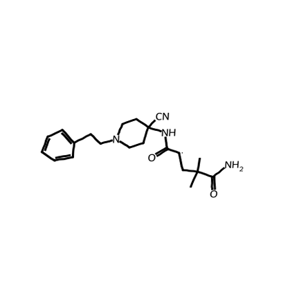 CC(C)(C[CH]C(=O)NC1(C#N)CCN(CCc2ccccc2)CC1)C(N)=O